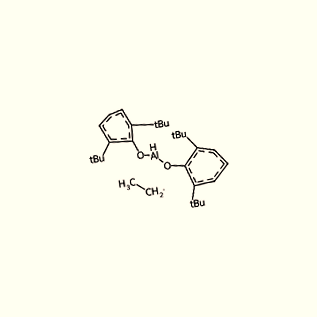 CC(C)(C)c1cccc(C(C)(C)C)c1[O][AlH][O]c1c(C(C)(C)C)cccc1C(C)(C)C.[CH2]C